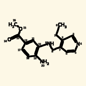 CCc1cnccc1CNc1cc(C(=O)OC)ccc1N